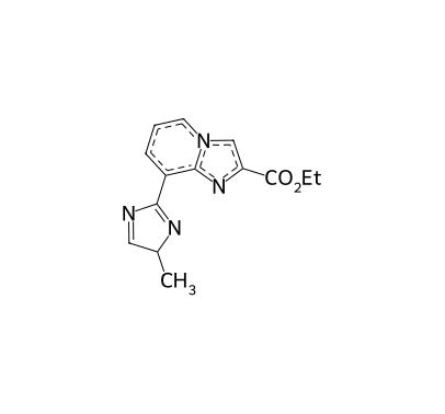 CCOC(=O)c1cn2cccc(C3=NC(C)C=N3)c2n1